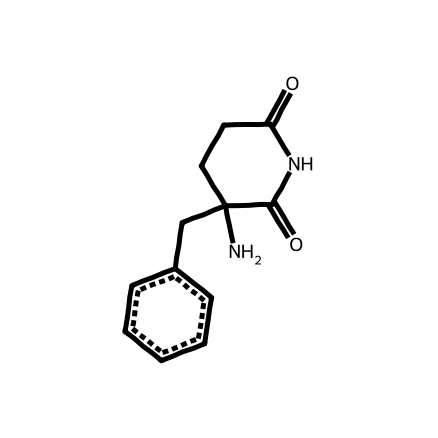 NC1(Cc2ccccc2)CCC(=O)NC1=O